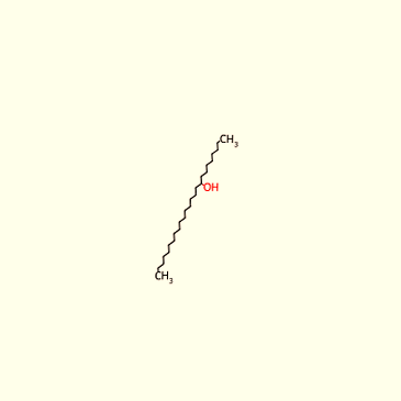 CCCCCCCCCCCCCCCCC(O)CCCCCCCC